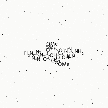 COSP1(=O)OCC2OC(N3C=NC4C(N)=NC=NC43)C(OP(=O)(SOC)OCC3OC(N4C=NC5C(N)=NC=NC54)C(O)C3O1)C2O